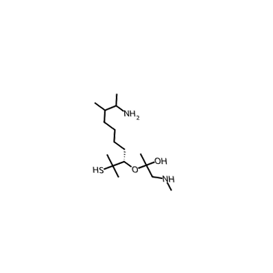 CNCC(C)(O)O[C@@H](CCCCC(C)C(C)N)C(C)(C)S